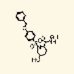 O=C(NO)C1CCC(O)CN1S(=O)(=O)c1ccc(OCc2ccccc2)cc1